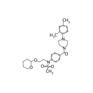 Cc1ccc(N2CCN(C(=O)c3ccc(N(CCOC4CCCCO4)S(C)(=O)=O)cc3)CC2)c(C)c1